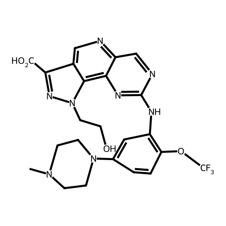 CN1CCN(c2ccc(OC(F)(F)F)c(Nc3ncc4ncc5c(C(=O)O)nn(CCO)c5c4n3)c2)CC1